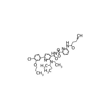 C#CCCC(=O)Nc1cccc(S(=O)(=O)NC(=O)c2ccc(-c3ccc(Cl)c(OCCC)c3)nc2N(CC)[C@H](C)CC)n1